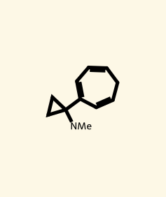 CNC1(C2=CC=CCC=C2)CC1